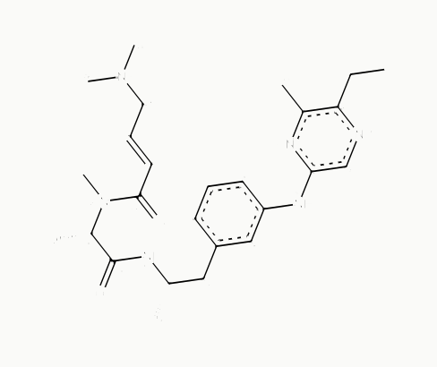 CCc1ncc(Nc2cccc(C[C@H](C)NC(=O)[C@H](C)N(C)C(=O)/C=C/CN(C)C)c2)nc1C